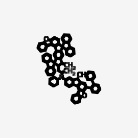 C=C1/C(=C\C(=C)N(c2ccc3c(c2)C(C)c2cc(-c4ccccc4-c4ccccc4)c4oc5ccccc5c4c2-3)C2C=CC=CC2)C2(c3cc4c(cc31)C1(c3ccccc3-c3ccccc31)c1ccc3oc5ccccc5c3c1-4)c1ccccc1-c1ccccc12